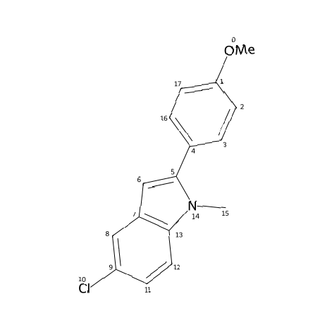 COc1ccc(-c2cc3cc(Cl)ccc3n2C)cc1